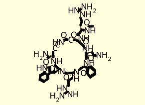 CC(=O)N[C@@H](CCCNC(=N)N)C(=O)N[C@H]1CCC(=O)NCCC[C@@H](C(N)=O)NC(=O)[C@H](Cc2c[nH]c3ccccc23)NC(=O)[C@H](CCCNC(=N)N)NC(=O)C(c2ccccc2)NC(=O)[C@H](CCN)NC1=O